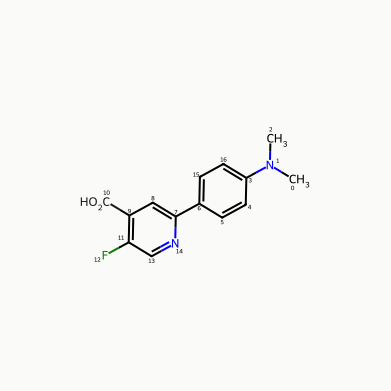 CN(C)c1ccc(-c2cc(C(=O)O)c(F)cn2)cc1